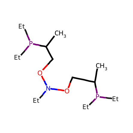 CCN(OCC(C)P(CC)CC)OCC(C)P(CC)CC